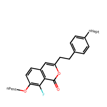 CCCCCCCc1ccc(CCc2cc3ccc(OCCCCC)c(F)c3c(=O)o2)cc1